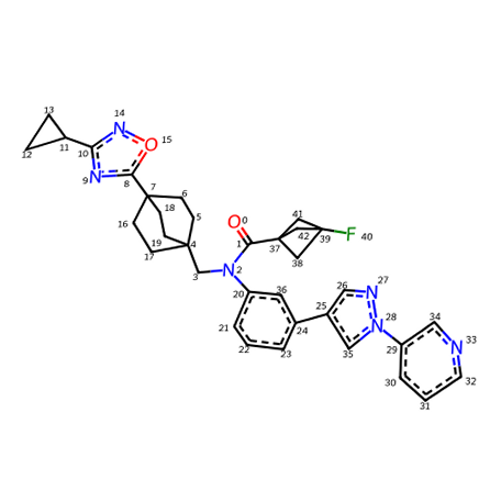 O=C(N(CC12CCC(c3nc(C4CC4)no3)(CC1)CC2)c1cccc(-c2cnn(-c3cccnc3)c2)c1)C12CC(F)(C1)C2